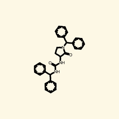 O=C(NC1CCN(C(c2ccccc2)c2ccccc2)C1=O)NC(c1ccccc1)c1ccccc1